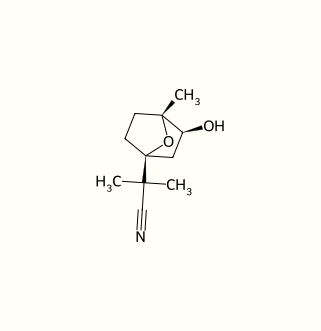 CC(C)(C#N)[C@@]12CC[C@@](C)(O1)[C@@H](O)C2